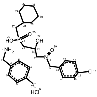 Cl.NCc1ccc(Cl)cc1.O=[N+](Cc1ccc(Cl)cc1)C[C@H](O)CP(=O)(O)CC1CCCCC1